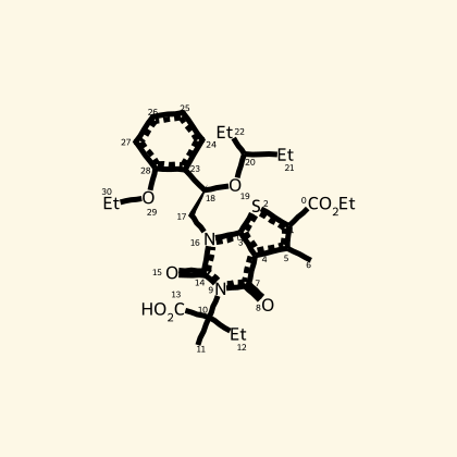 CCOC(=O)c1sc2c(c1C)c(=O)n(C(C)(CC)C(=O)O)c(=O)n2C[C@H](OC(CC)CC)c1ccccc1OCC